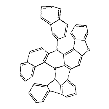 c1ccc2cc(N3c4ccc5ccccc5c4B4c5c(cc6oc7ccccc7c6c53)-c3cccc5c6ccccc6n4c35)ccc2c1